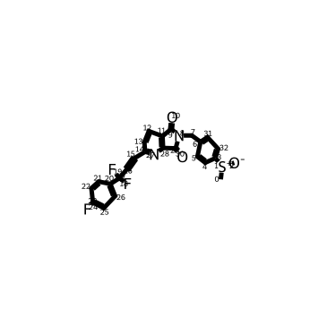 C[S+]([O-])c1ccc(CN2C(=O)c3ccc(C#CC(F)(F)c4ccc(F)cc4)nc3C2=O)cc1